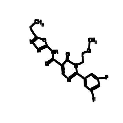 CCc1nnc(NC(=O)c2cnc(-c3cc(F)cc(F)c3)n(CCOC)c2=O)o1